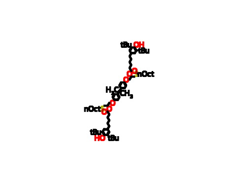 CCCCCCCCSCC(COc1ccc(C(C)(C)c2ccc(OCC(CSCCCCCCCC)OC(=O)CCCCCc3cc(C(C)(C)C)c(O)c(C(C)(C)C)c3)cc2)cc1)OC(=O)CCCCCc1cc(C(C)(C)C)c(O)c(C(C)(C)C)c1